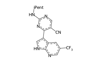 CCCC(C)Nc1ncc(C#N)c(-c2c[nH]c3ncc(C(F)(F)F)cc23)n1